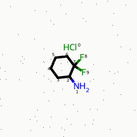 Cl.NC1CCCCC1(F)F